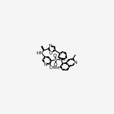 C=C(Nc1cnc(OC)c(S(=O)(=O)Nc2cccc3cnc(C)cc23)c1)c1ncc(-c2ccccc2)o1